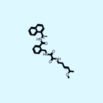 COC(C)/C=C/CCNC(=O)C(=O)NCc1ccccc1C(=O)N[C@H](C)c1cccc2ccccc12